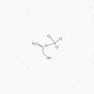 C=CCO.ClC(Cl)(Cl)Cl